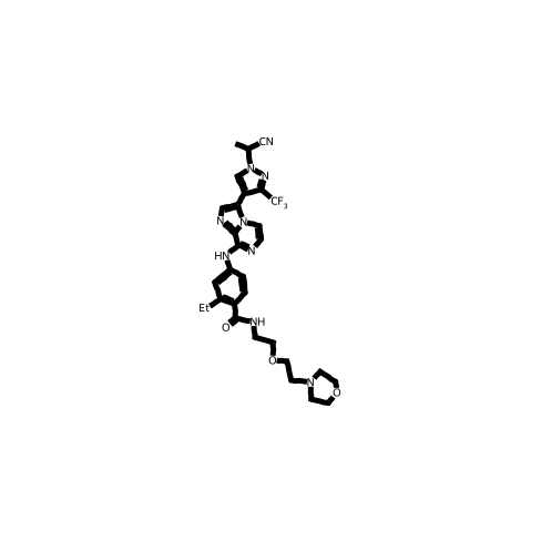 CCc1cc(Nc2nccn3c(-c4cn(C(C)C#N)nc4C(F)(F)F)cnc23)ccc1C(=O)NCCOCCN1CCOCC1